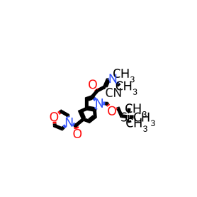 CN(C)/C=C(\C#N)C(=O)c1cc2cc(C(=O)N3CCOCC3)ccc2n1COCC[Si](C)(C)C